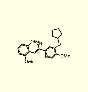 COc1cnc(/C(C#N)=C/c2c(OC)cccc2OC)cc1OC1CCCC1